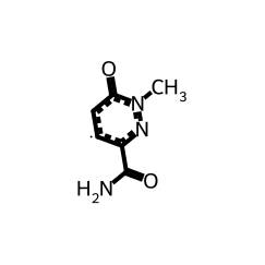 Cn1nc(C(N)=O)[c]cc1=O